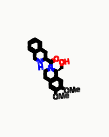 COc1cc2c(cc1OC)[C@@H](CO)N(C(=O)C1Cc3ccccc3CN1)CC2